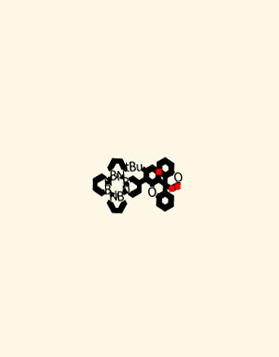 CC(C)(C)c1ccc2c(c1C1=CB3N4C=CC=CB4N4C=CC=CB4N4C=CC=CB4N3C=C1)Oc1ccccc1C21c2ccccc2Oc2ccccc21